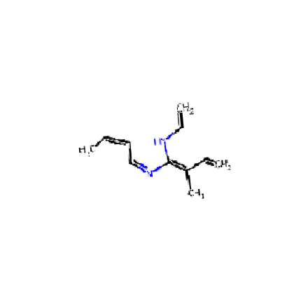 C=CNC(/N=C\C=C/C)=C(/C)C=C